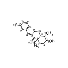 C[C@@H]1C(O)CC[C@]2(C)C(=O)/C(=C/c3cccc(F)c3)CCC12